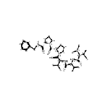 CC(C)[C@H](NC(=O)[C@H](C(C)C)N(C)C)C(=O)N[C@H](C(=O)N1CCC[C@H]1C(=O)N1CCC[C@H]1C(=O)NCc1ccccc1)C(C)C